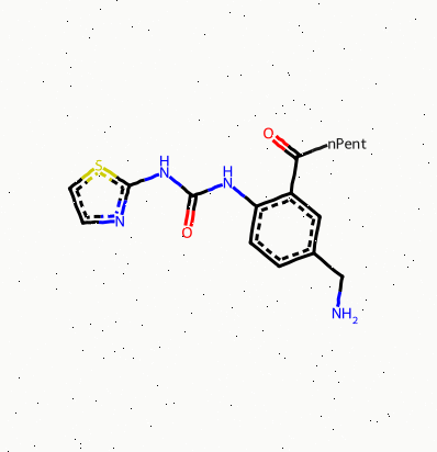 CCCCCC(=O)c1cc(CN)ccc1NC(=O)Nc1nccs1